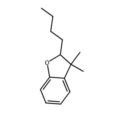 CCCCC1Oc2ccccc2C1(C)C